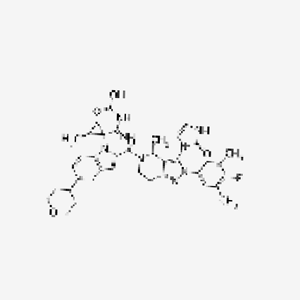 Cc1cc(-n2nc3c(c2-n2cc[nH]c2=O)[C@H](C)N(C(=O)c2cc4cc(C5CCOCC5)ccc4n2[C@@]2(C(=N)NC(=O)O)C[C@@H]2C)CC3)cc(C)c1F